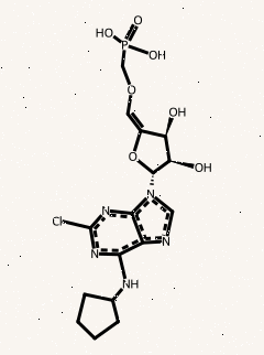 O=P(O)(O)COC=C1O[C@@H](n2cnc3c(NC4CCCC4)nc(Cl)nc32)[C@H](O)[C@@H]1O